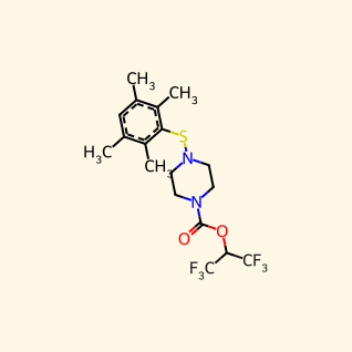 Cc1cc(C)c(C)c(SN2CCN(C(=O)OC(C(F)(F)F)C(F)(F)F)CC2)c1C